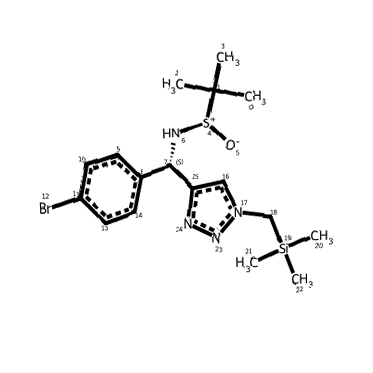 CC(C)(C)[S+]([O-])N[C@@H](c1ccc(Br)cc1)c1cn(C[Si](C)(C)C)nn1